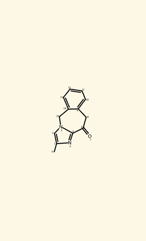 Cc1cn2c(n1)C(=O)Cc1ccccc1C2